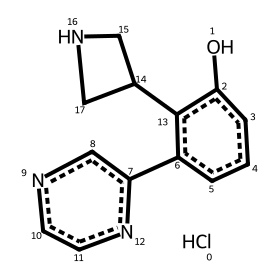 Cl.Oc1cccc(-c2cnccn2)c1C1CNC1